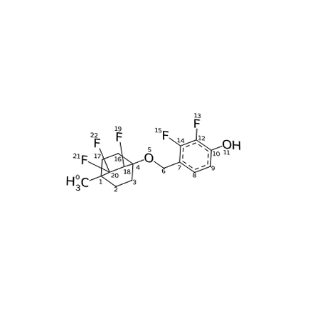 CC12CCC(OCc3ccc(O)c(F)c3F)(CC1)C(F)C2(F)F